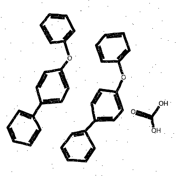 O=C(O)O.c1ccc(Oc2ccc(-c3ccccc3)cc2)cc1.c1ccc(Oc2ccc(-c3ccccc3)cc2)cc1